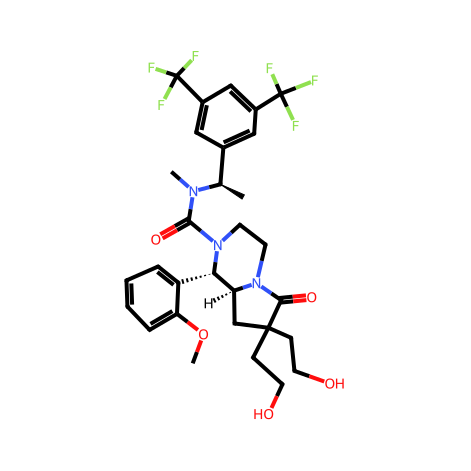 COc1ccccc1[C@H]1[C@@H]2CC(CCO)(CCO)C(=O)N2CCN1C(=O)N(C)[C@H](C)c1cc(C(F)(F)F)cc(C(F)(F)F)c1